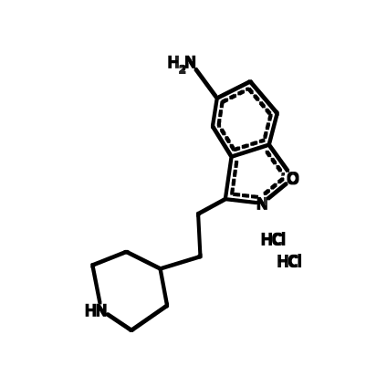 Cl.Cl.Nc1ccc2onc(CCC3CCNCC3)c2c1